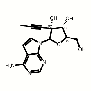 CC#C[C@]1(O)C(n2ccc3c(N)ncnc32)O[C@H](CO)[C@H]1O